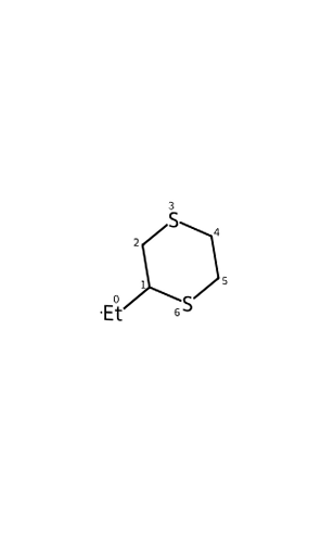 C[CH]C1CSCCS1